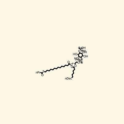 CCCCCCCCCCCCCCCC(=O)O[C@H](COC(=O)CCCCCCCCCCCCCSC(=O)CCC)COP(=O)(O)OC1C(O)[C@@H](O)C(OP(=O)(O)O)[C@@H](O)[C@H]1O